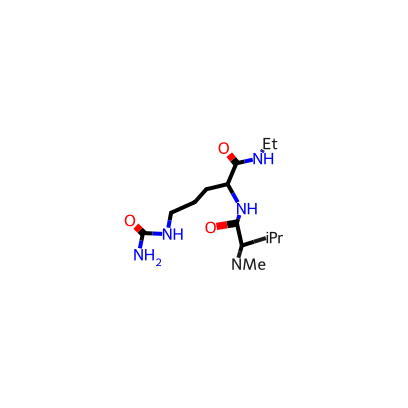 CCNC(=O)C(CCCNC(N)=O)NC(=O)C(NC)C(C)C